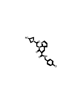 N#CC1CN(C(=O)Cn2c(=O)c(C(=O)NCc3ccc(Cl)cc3)cc3cccnc32)C1